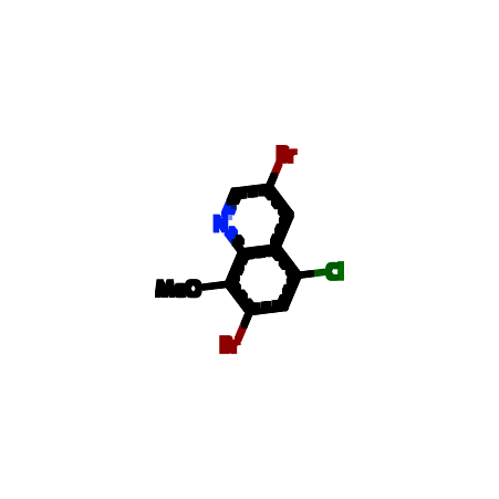 COc1c(Br)cc(Cl)c2cc(Br)cnc12